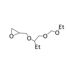 CCOCOCC(CC)OCC1CO1